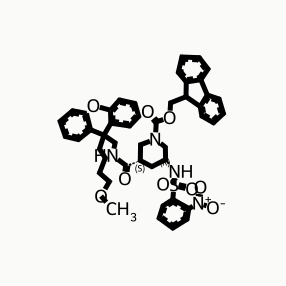 COCCCCC1(CNC(=O)[C@H]2C[C@@H](NS(=O)(=O)c3ccccc3[N+](=O)[O-])CN(C(=O)OCC3c4ccccc4-c4ccccc43)C2)c2ccccc2Oc2ccccc21